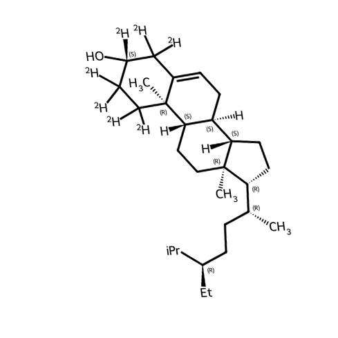 [2H]C1([2H])C2=CC[C@H]3[C@@H]4CC[C@H]([C@H](C)CC[C@@H](CC)C(C)C)[C@@]4(C)CC[C@@H]3[C@@]2(C)C([2H])([2H])C([2H])([2H])[C@]1([2H])O